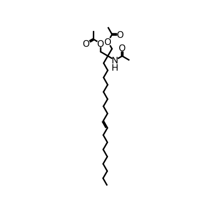 CCCCCCCCC=CCCCCCCCCC(COC(C)=O)(COC(C)=O)NC(C)=O